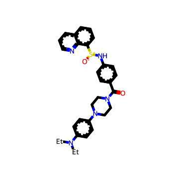 CCN(CC)c1ccc(N2CCN(C(=O)c3ccc(N[S+]([O-])c4cccc5cccnc45)cc3)CC2)cc1